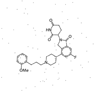 COc1ccccc1CCCN1CCC(c2cc(F)cc3c2CN(C2CCC(=O)NC2=O)C3=O)CC1